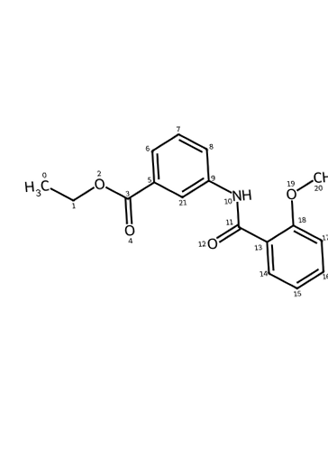 CCOC(=O)c1cccc(NC(=O)c2ccccc2OC)c1